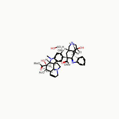 CC[C@]1(O)C[N@@]2CC[C@]34C(=Nc5ccccc53)[C@@](C(=O)OC)(c3cc5c(cc3OC)N(C)[C@H]3[C@@](O)(C(=O)OC)[C@H](OC(C)=O)[C@]6(CC)C=CCN7CC[C@]53[C@@H]76)C[C@H](C2)[C@H]14.O=S(=O)(O)O